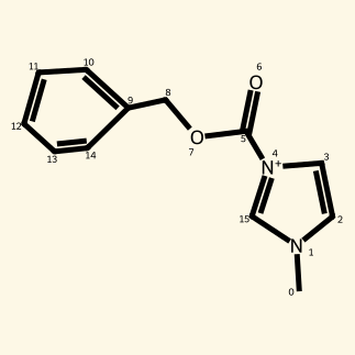 Cn1cc[n+](C(=O)OCc2ccccc2)c1